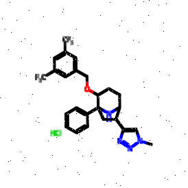 Cl.Cn1cc(C2CC3(c4ccccc4)NC2CCC3OCc2cc(C(F)(F)F)cc(C(F)(F)F)c2)nn1